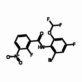 O=C(Nc1c(Br)cc(F)cc1OC(F)F)c1cccc([N+](=O)[O-])c1F